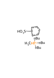 CCCC[PH](C)(CCCC)CCCC.O=S(=O)(O)c1ccccc1